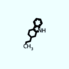 CCCC1CCc2c([nH]c3ccccc23)C1